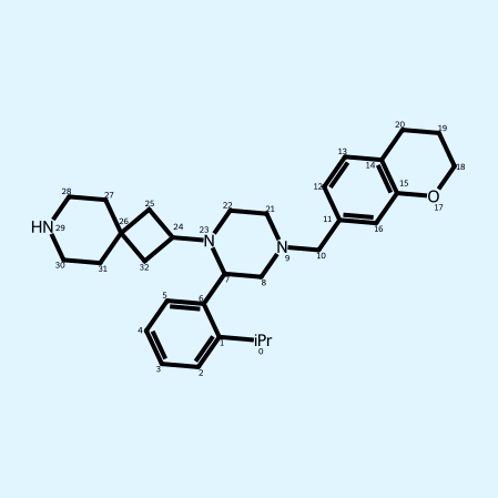 CC(C)c1ccccc1C1CN(Cc2ccc3c(c2)OCCC3)CCN1C1CC2(CCNCC2)C1